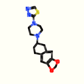 c1nnc(N2CCN(C3CCc4cc5c(cc4C3)OCO5)CC2)s1